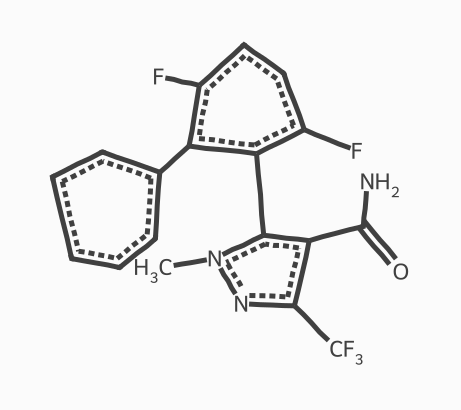 Cn1nc(C(F)(F)F)c(C(N)=O)c1-c1c(F)ccc(F)c1-c1ccccc1